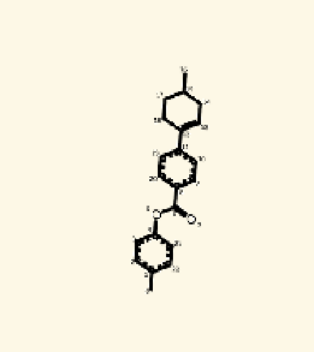 Cc1ccc(OC(=O)c2ccc(C3=CCC(C)CC3)cc2)cc1